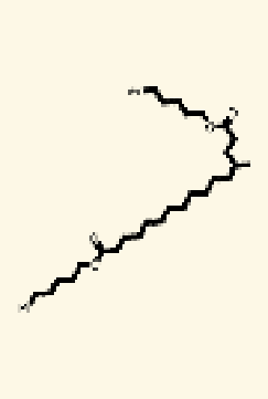 CC(C)CCCCCOC(=O)CCCCCCCCCCCC(C)CCC(=O)OCCCCCC(C)C